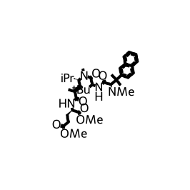 CN[C@H](C(=O)NC(C(=O)N(C)[C@H](/C=C(\C)C(=O)N[C@H](CCC(=O)OC)C(=O)OC)C(C)C)C(C)(C)C)C(C)(C)c1ccc2ccccc2c1